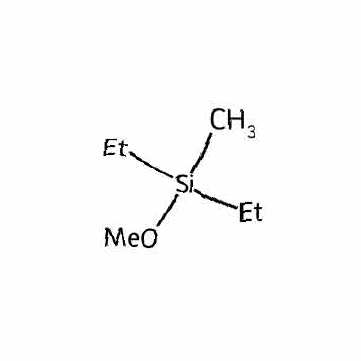 CC[Si](C)(CC)OC